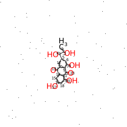 C[C@@H](O)[C@@H](O)c1cc(O)c2c(c1)C(=O)c1cc(O)cc(O)c1C2=O